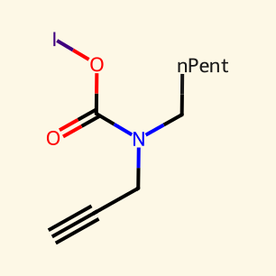 C#CCN(CCCCCC)C(=O)OI